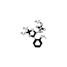 COS(=O)(=O)N[C@H]1OC(C)(C)O[C@H]1c1ccccc1C